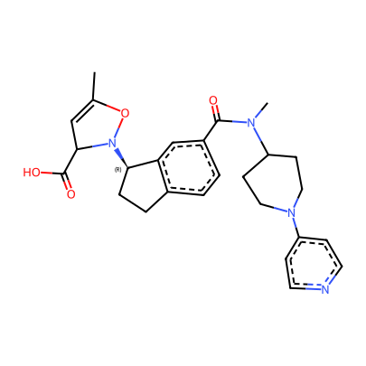 CC1=CC(C(=O)O)N([C@@H]2CCc3ccc(C(=O)N(C)C4CCN(c5ccncc5)CC4)cc32)O1